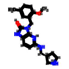 Cc1ccc(OC(F)(F)F)c(Cn2c(=O)[nH]c3ccc(NC[C@@H]4CCNC4)nc32)c1